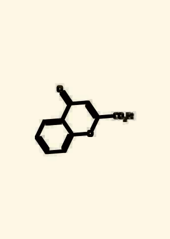 CCOC(=O)c1cc(=O)c2ccccc2o1